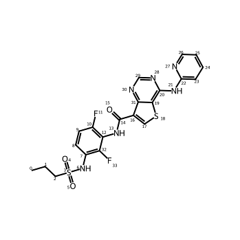 CCCS(=O)(=O)Nc1ccc(F)c(NC(=O)c2csc3c(Nc4ccccn4)ncnc23)c1F